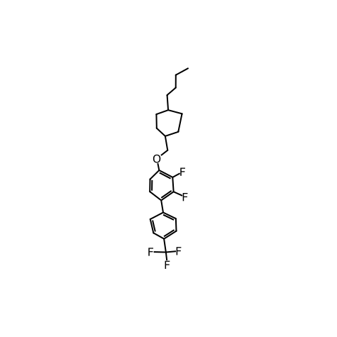 CCCCC1CCC(COc2ccc(-c3ccc(C(F)(F)F)cc3)c(F)c2F)CC1